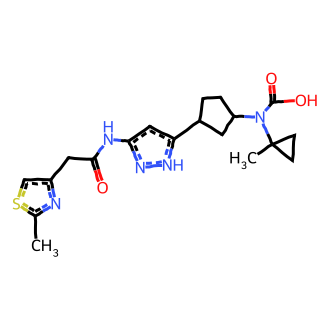 Cc1nc(CC(=O)Nc2cc(C3CCC(N(C(=O)O)C4(C)CC4)C3)[nH]n2)cs1